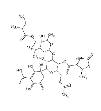 CCC(C)C(=O)OC(C)C1(O)C(C)OC(OC2C(O)C(C3(O)CC(=O)C(=N)C(C(=O)O)=C3O)OC(COC(C)=O)C2OC(=O)C2NC(=S)SC2C)CC1OC